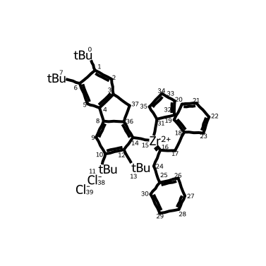 CC(C)(C)c1cc2c(cc1C(C)(C)C)-c1cc(C(C)(C)C)c(C(C)(C)C)[c]([Zr+2](=[C](Cc3ccccc3)Cc3ccccc3)[CH]3C=CC=C3)c1C2.[Cl-].[Cl-]